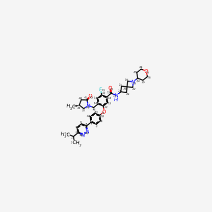 CC(C)c1ccc(-c2ccc(Oc3cc(C(=O)NC4CC5(C4)CN(C4CCOCC4)C5)c(F)cc3CN3C[C@@H](C)CC3=O)cc2)nn1